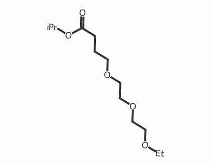 CCOCCOCCOCCCC(=O)OC(C)C